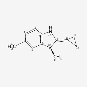 Cc1ccc2c(c1)[C@H](C)C(=C1CC1)N2